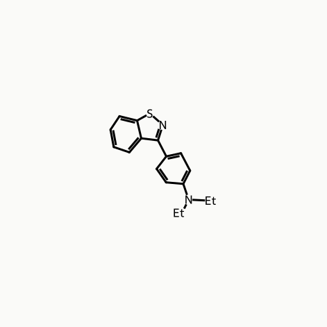 CCN(CC)c1ccc(-c2nsc3ccccc23)cc1